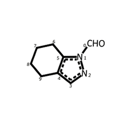 O=Cn1ncc2c1CCCC2